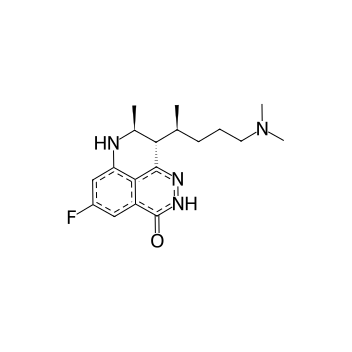 C[C@@H]1Nc2cc(F)cc3c(=O)[nH]nc(c23)[C@H]1[C@@H](C)CCCN(C)C